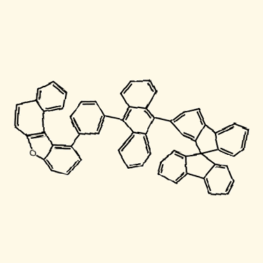 c1cc(-c2c3ccccc3c(-c3ccc4c(c3)C3(c5ccccc5-c5ccccc53)c3ccccc3-4)c3ccccc23)cc(-c2cccc3oc4ccc5ccccc5c4c23)c1